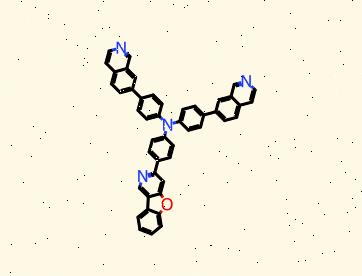 c1ccc2c(c1)oc1cc(-c3ccc(N(c4ccc(-c5ccc6ccncc6c5)cc4)c4ccc(-c5ccc6ccncc6c5)cc4)cc3)ncc12